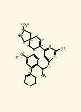 Cl.Nc1nc(O[C@H](c2ccc(Cl)cc2C2=CCOCC2)C(F)(F)F)cc(C2=CCC3(CC2)CNC(C(=O)O)C3)n1